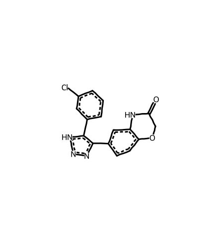 O=C1COc2ccc(-c3nn[nH]c3-c3cccc(Cl)c3)cc2N1